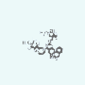 CN(C)CC1(COc2nc3c(c(N4CCCn5nc(C(=O)N(C)C)c(Cl)c5C4)n2)CN(C)[C@@]2(CCCc4ccccc42)C3)CC1(F)F